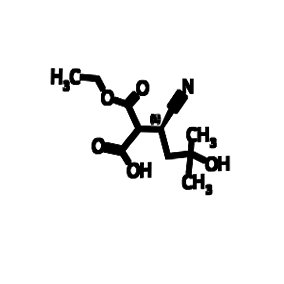 CCOC(=O)C(C(=O)O)[C@@H](C#N)CC(C)(C)O